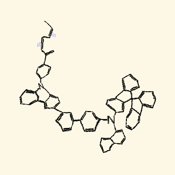 C=C(/C=C\C=C/C)c1ccc(-n2c3ccccc3c3cc(-c4cccc(-c5ccc(N(c6ccc7c(c6)C6(c8ccccc8-c8ccccc86)c6ccccc6-7)c6cccc7ccccc67)cc5)c4)ccc32)cc1